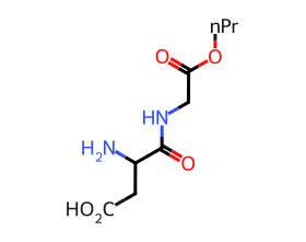 CCCOC(=O)CNC(=O)C(N)CC(=O)O